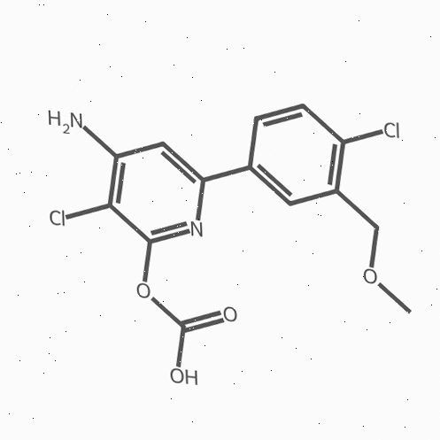 COCc1cc(-c2cc(N)c(Cl)c(OC(=O)O)n2)ccc1Cl